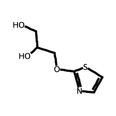 OCC(O)COc1nccs1